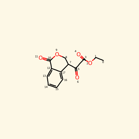 CCOC(=O)C(=O)C1COC(=O)c2ccccc21